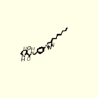 CCCCCCCc1cn(-c2ccc(CNC(=O)C3NCCC3O)cc2)nn1